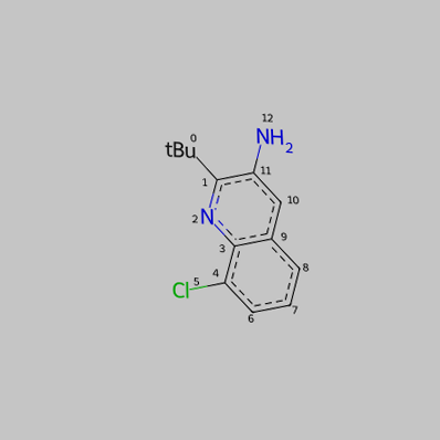 CC(C)(C)c1nc2c(Cl)cccc2cc1N